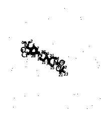 CN(C)C(=O)c1ccc(N2CCC(C3CCN(C(=O)OC(C)(C)C)CC3)CC2)cc1Cl